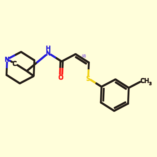 Cc1cccc(S/C=C\C(=O)NC2CN3CCC2CC3)c1